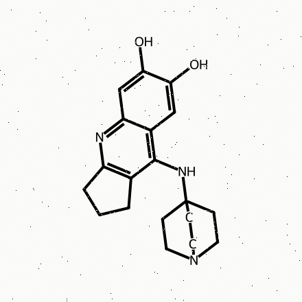 Oc1cc2nc3c(c(NC45CCN(CC4)CC5)c2cc1O)CCC3